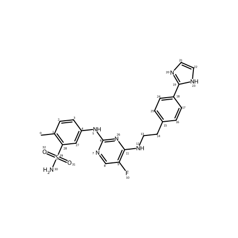 Cc1ccc(Nc2ncc(F)c(NCCc3ccc(-c4ncc[nH]4)cc3)n2)cc1S(N)(=O)=O